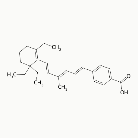 CCC1=C(C=CC(C)=CC=Cc2ccc(C(=O)O)cc2)C(CC)(CC)CCC1